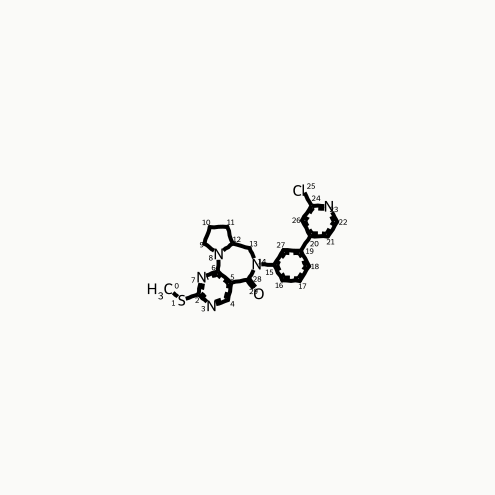 CSc1ncc2c(n1)N1CCCC1CN(c1cccc(-c3ccnc(Cl)c3)c1)C2=O